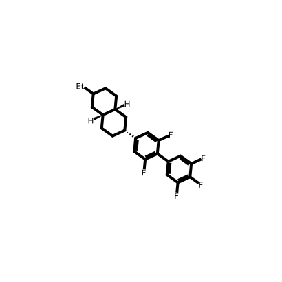 CCC1CC[C@@H]2C[C@H](c3cc(F)c(-c4cc(F)c(F)c(F)c4)c(F)c3)CC[C@@H]2C1